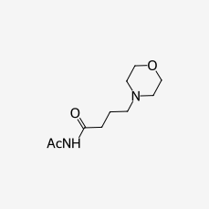 CC(=O)NC(=O)CCCN1CCOCC1